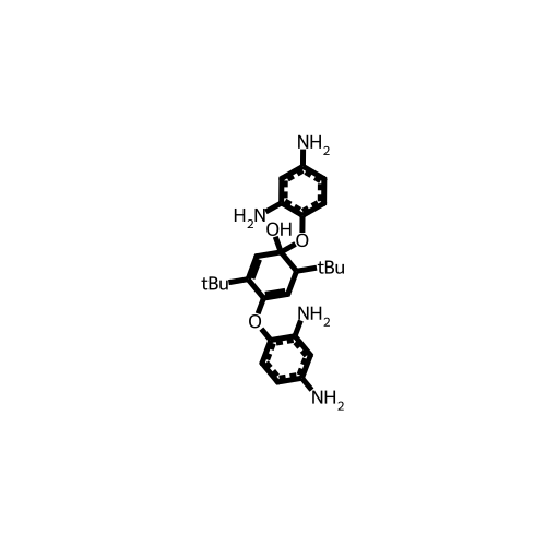 CC(C)(C)C1=CC(O)(Oc2ccc(N)cc2N)C(C(C)(C)C)C=C1Oc1ccc(N)cc1N